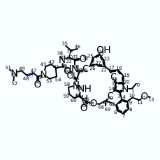 CCn1c(-c2ccccc2CCOC)c2c3cc(ccc31)-c1cc(O)cc(c1)C[C@H](NC(=O)[C@H](C(C)C)N(C)C(=O)C1CCN(C(=O)/C=C/CN(C)C)CC1)C(=O)N1CCC[C@H](N1)C(=O)OCC(C)(C)C2